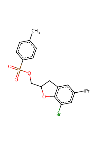 Cc1ccc(S(=O)(=O)OCC2Cc3cc(C(C)C)cc(Br)c3O2)cc1